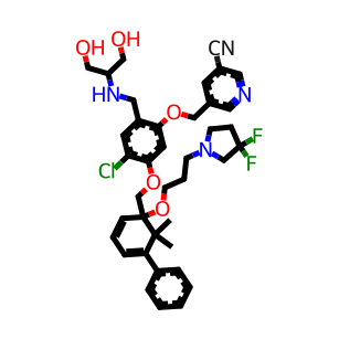 CC1(C)C(c2ccccc2)=CC=CC1(COc1cc(OCc2cncc(C#N)c2)c(CNC(CO)CO)cc1Cl)OCCCN1CCC(F)(F)C1